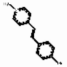 C[n+]1ccc(/C=C/c2ccc(C(C)(C)C)cc2)cc1